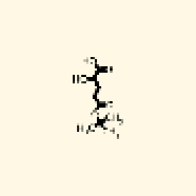 CC(C)(C)OC(=O)CCC(O)C(=O)O